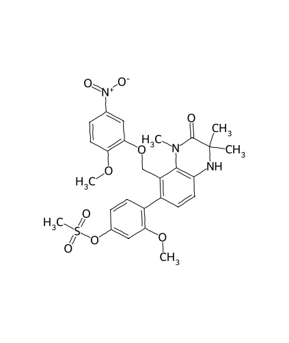 COc1ccc([N+](=O)[O-])cc1OCc1c(-c2ccc(OS(C)(=O)=O)cc2OC)ccc2c1N(C)C(=O)C(C)(C)N2